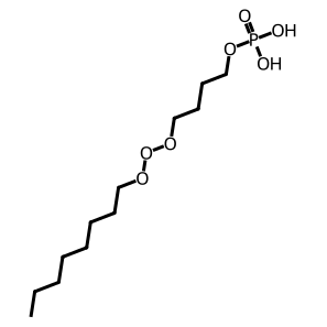 CCCCCCCCOOOCCCCOP(=O)(O)O